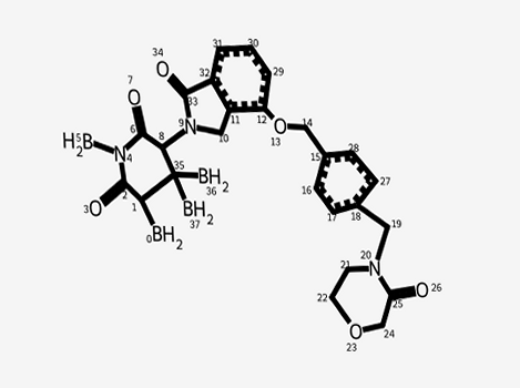 BC1C(=O)N(B)C(=O)C(N2Cc3c(OCc4ccc(CN5CCOCC5=O)cc4)cccc3C2=O)C1(B)B